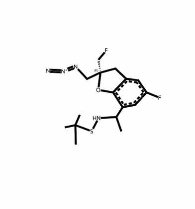 CC(NSC(C)(C)C)c1cc(F)cc2c1O[C@@](CF)(CN=[N+]=[N-])C2